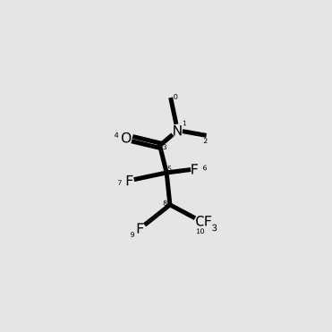 CN(C)C(=O)C(F)(F)C(F)C(F)(F)F